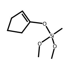 CO[Si](C)(OC)OC1=CCCC1